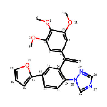 C=C(c1cc(OC)c(OC)c(OC)c1)c1cc(-c2ccco2)ccc1-n1cncn1